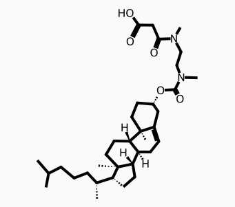 CC(C)CCC[C@@H](C)[C@H]1CC[C@H]2[C@@H]3CC=C4C[C@@H](OC(=O)N(C)CCN(C)C(=O)CC(=O)O)CC[C@]4(C)[C@H]3CC[C@]12C